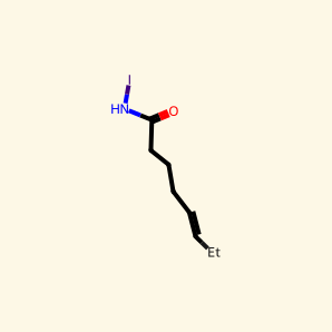 CC/C=C/CCCC(=O)NI